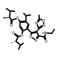 CCNC(=O)c1noc(-c2cc(C(C)C)c(OC(=O)[C@@H](C)C(C)C)cc2OC(=O)[C@@H](C)C(C)C)c1-c1noc(C)n1